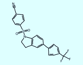 N#Cc1ccc(S(=O)(=O)N2CCc3cc(-c4ccc(C(F)(F)F)cc4)ccc32)cc1